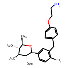 CS[C@H]1O[C@@H](c2ccc(C)c(Cc3ccc(OCCN)cc3)c2)[C@H](OC(C)=O)[C@@H](OC(C)=O)[C@@H]1OC(C)=O